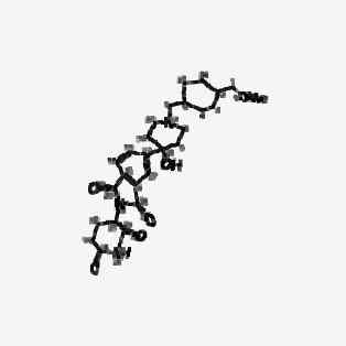 COCC1CCC(CN2CCC(O)(c3ccc4c(c3)C(=O)N(C3CCC(=O)NC3=O)C4=O)CC2)CC1